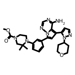 COC(=O)N1CCN(c2cccc(-c3cc(-c4ccnn4C4CCOCC4)c4c(N)ncnn34)c2)C(C)(C)C1